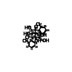 OC[C@@H](O)[C@]1(O)C(Cl)(c2ccccc2Cl)[C@]2(O)C(O)C(Cl)(c3ccccc3Cl)[C@@]21O